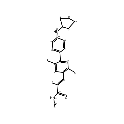 C/C(=C\c1cc(C)c(-c2ccc(NC3CCCC3)cc2)cc1C)C(=O)NC(C)C